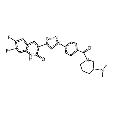 CN(C)C1CCCN(C(=O)c2ccc(-n3cc(-c4cc5cc(F)c(F)cc5[nH]c4=O)nn3)cc2)C1